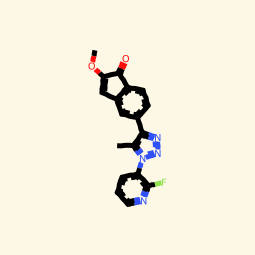 COC1=Cc2cc(-c3nnn(-c4cccnc4F)c3C)ccc2C1=O